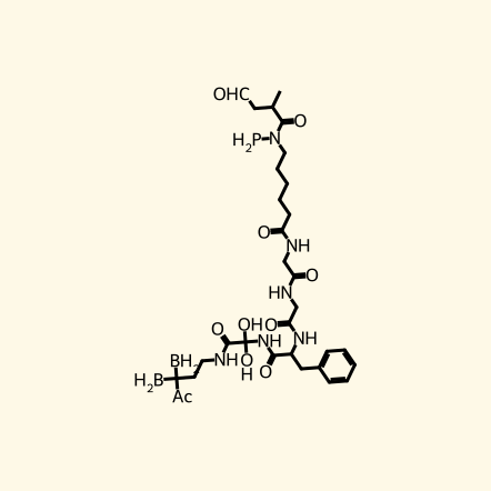 BC(B)(CCNC(=O)C(O)(O)NC(=O)C(Cc1ccccc1)NC(=O)CNC(=O)CNC(=O)CCCCCN(P)C(=O)C(C)CC=O)C(C)=O